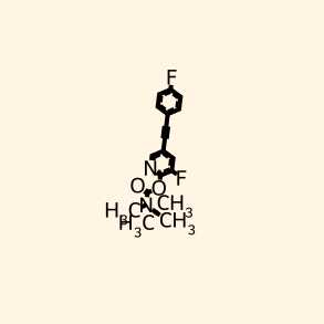 CN(C(=O)Oc1ncc(C#Cc2ccc(F)cc2)cc1F)C(C)(C)C